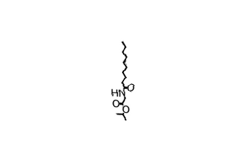 CCCCCCCCCC(=O)NCC(=O)OC(C)C